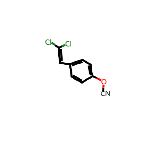 N#COc1ccc(C=C(Cl)Cl)cc1